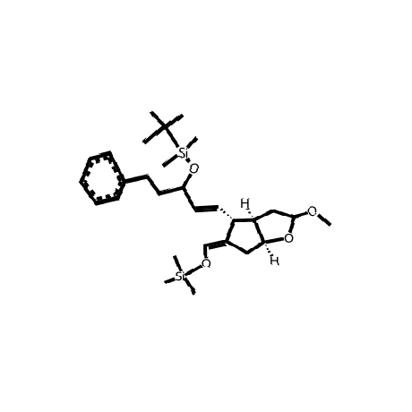 COC1C[C@H]2[C@H](C/C(=C\O[Si](C)(C)C)[C@@H]2/C=C/C(CCc2ccccc2)O[Si](C)(C)C(C)(C)C)O1